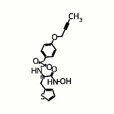 CC#CCOc1ccc(S(=O)(=O)N[C@H](Cc2cccs2)C(=O)NO)cc1